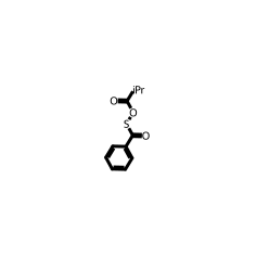 CC(C)C(=O)OSC(=O)c1ccccc1